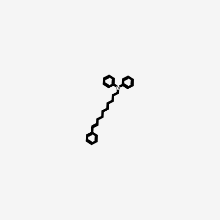 C(=Cc1ccccc1)CCCCCCCCN(c1ccccc1)c1ccccc1